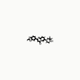 Cc1nc2ccc(-c3cc(=O)n4cc(N5CCNC(C)(C)C5)ccc4n3)cc2o1